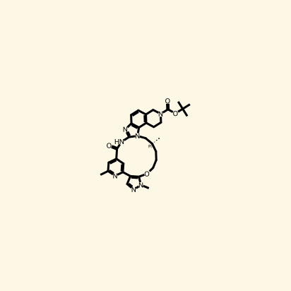 Cc1cc2cc(n1)-c1cnn(C)c1OCCC[C@@H](C)Cn1c(nc3ccc4c(c31)CCN(C(=O)OC(C)(C)C)C4)NC2=O